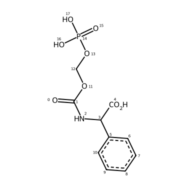 O=C(NC(C(=O)O)c1ccccc1)OCOP(=O)(O)O